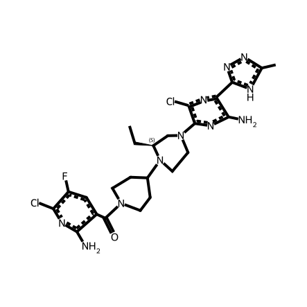 CC[C@H]1CN(c2nc(N)c(-c3nnc(C)[nH]3)nc2Cl)CCN1C1CCN(C(=O)c2cc(F)c(Cl)nc2N)CC1